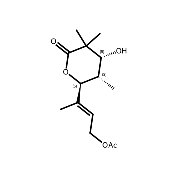 CC(=O)OCC=C(C)[C@H]1OC(=O)C(C)(C)[C@H](O)[C@@H]1C